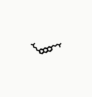 CC(C)CCCc1ccc2cc3ccc(CCCC(C)C)cc3cc2c1